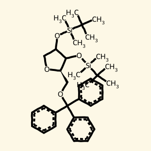 CC(C)(C)[Si](C)(C)OC1CO[C@H](COC(c2ccccc2)(c2ccccc2)c2ccccc2)C1O[Si](C)(C)C(C)(C)C